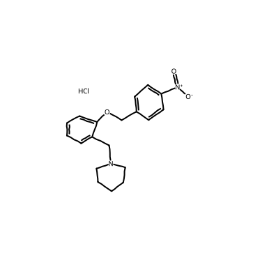 Cl.O=[N+]([O-])c1ccc(COc2ccccc2CN2CCCCC2)cc1